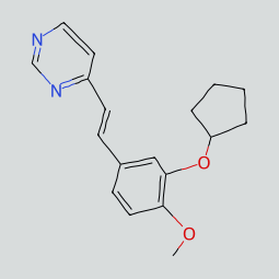 COc1ccc(C=Cc2ccncn2)cc1OC1CCCC1